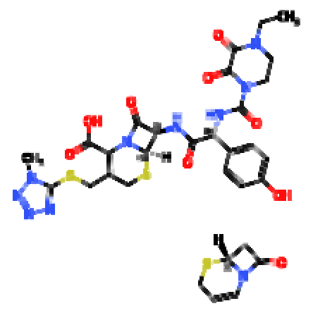 CCN1CCN(C(=O)N[C@@H](C(=O)N[C@@H]2C(=O)N3C(C(=O)O)=C(CSc4nnnn4C)CS[C@H]23)c2ccc(O)cc2)C(=O)C1=O.O=C1C[C@H]2SCC=CN12